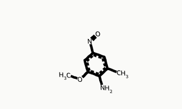 COc1cc(N=O)cc(C)c1N